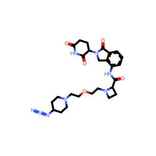 [N-]=[N+]=NC1CCN(CCOCCN2CCC2C(=O)Nc2cccc3c2CN(C2CCC(=O)NC2=O)C3=O)CC1